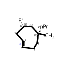 CCC[C@]1(C)CC/C=C/C[C@H](F)C1